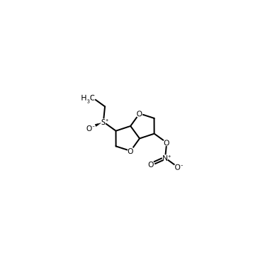 CC[S@+]([O-])C1COC2C(O[N+](=O)[O-])COC21